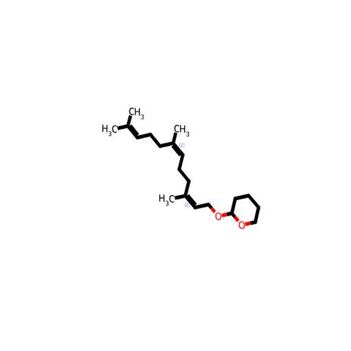 CC(C)=CCC/C(C)=C\CC/C(C)=C\COC1CCCCO1